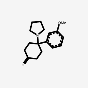 COc1cccc(C2(N3CCCC3)CCC(=O)CC2)c1